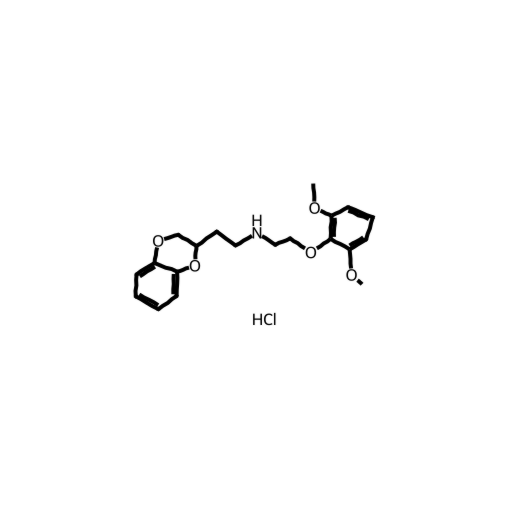 COc1cccc(OC)c1OCCNCCC1COc2ccccc2O1.Cl